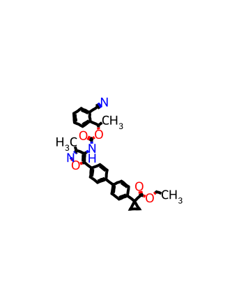 CCOC(=O)C1(c2ccc(-c3ccc(-c4onc(C)c4NC(=O)OC(C)c4ccccc4C#N)cc3)cc2)CC1